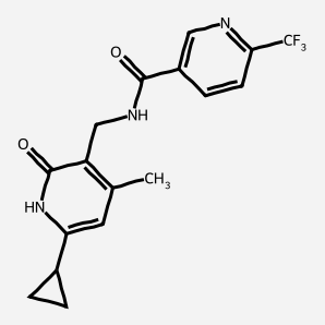 Cc1cc(C2CC2)[nH]c(=O)c1CNC(=O)c1ccc(C(F)(F)F)nc1